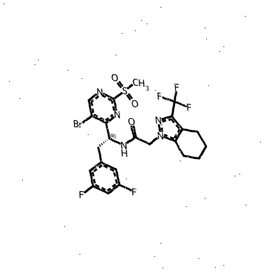 CS(=O)(=O)c1ncc(Br)c([C@@H](Cc2cc(F)cc(F)c2)NC(=O)Cn2nc(C(F)(F)F)c3c2CCCC3)n1